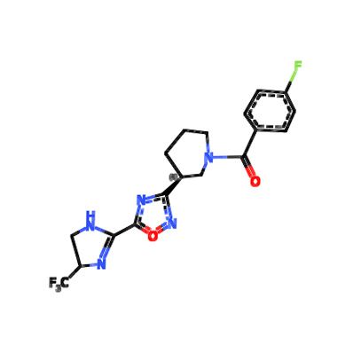 O=C(c1ccc(F)cc1)N1CCC[C@H](c2noc(C3=NC(C(F)(F)F)CN3)n2)C1